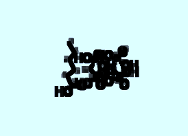 CCCCCC(=O)O.O=P(O)(O)CP(=O)(O)O.O=P(O)(O)CP(=O)(O)O